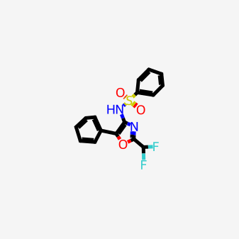 O=S(=O)(Nc1nc(C(F)F)oc1-c1ccccc1)c1ccccc1